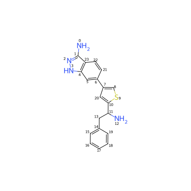 Nc1n[nH]c2cc(-c3csc(C(N)Cc4ccccc4)c3)ccc12